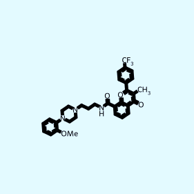 COc1ccccc1N1CCN(CCCNC(=O)c2cccc3c(=O)c(C)c(-c4ccc(C(F)(F)F)cc4)oc23)CC1